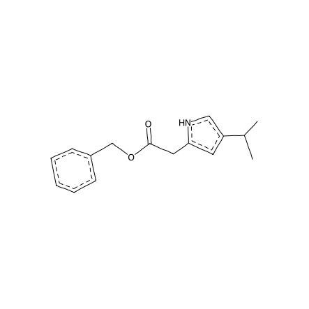 CC(C)c1c[nH]c(CC(=O)OCc2ccccc2)c1